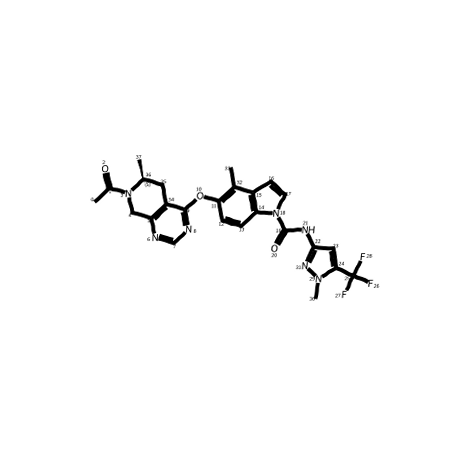 CC(=O)N1Cc2ncnc(Oc3ccc4c(ccn4C(=O)Nc4cc(C(F)(F)F)n(C)n4)c3C)c2C[C@@H]1C